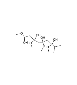 COC(O)CC(O)(CC(O)(CC(O)(OC)C(C)C)OC)OC